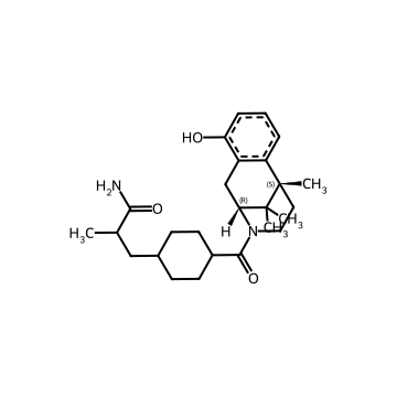 CC(CC1CCC(C(=O)N2CC[C@@]3(C)c4cccc(O)c4C[C@@H]2C3(C)C)CC1)C(N)=O